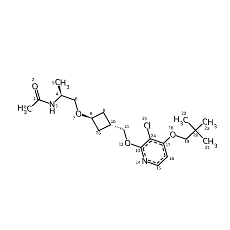 CC(=O)N[C@@H](C)CO[C@H]1C[C@H](COc2nccc(OCC(C)(C)C)c2Cl)C1